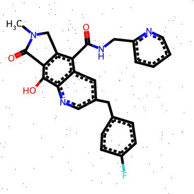 CN1Cc2c(c(O)c3ncc(Cc4ccc(F)cc4)cc3c2C(=O)NCc2ccccn2)C1=O